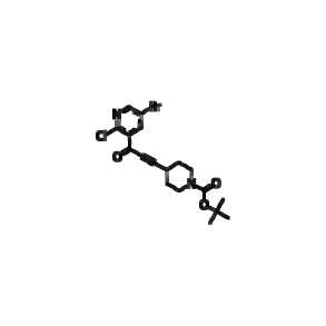 CC(C)(C)OC(=O)N1CCC(C#CC(=O)c2cc(Br)cnc2Cl)CC1